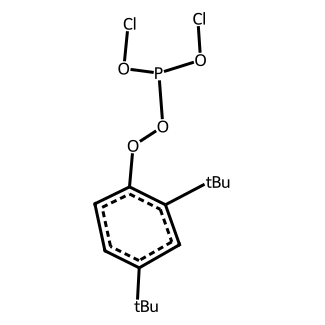 CC(C)(C)c1ccc(OOP(OCl)OCl)c(C(C)(C)C)c1